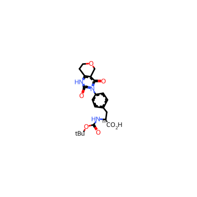 CC(C)(C)OC(=O)N[C@@H](Cc1ccc(-n2c(=O)[nH]c3c(c2=O)COCC3)cc1)C(=O)O